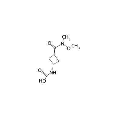 CON(C)C(=O)[C@H]1C[C@H](NC(=O)O)C1